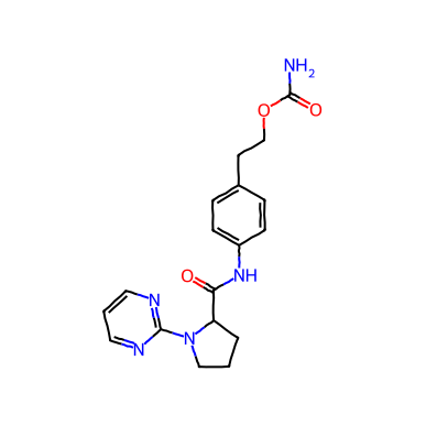 NC(=O)OCCc1ccc(NC(=O)C2CCCN2c2ncccn2)cc1